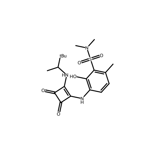 Cc1ccc(Nc2c(NC(C)C(C)(C)C)c(=O)c2=O)c(O)c1S(=O)(=O)N(C)C